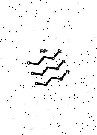 CCOCC[O-].CCOCC[O-].CCOCC[O-].[Fe+3]